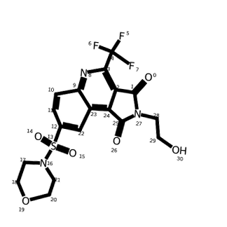 O=C1c2c(C(F)(F)F)nc3ccc(S(=O)(=O)N4CCOCC4)cc3c2C(=O)N1CCO